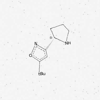 CC(C)(C)c1cc([C@@H]2CCCN2)no1